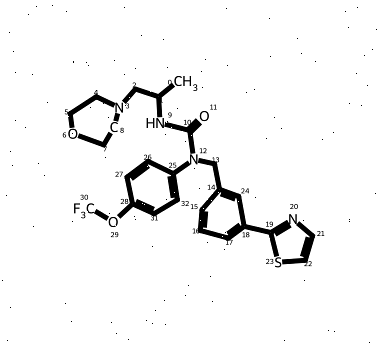 CC(CN1CCOCC1)NC(=O)N(Cc1cccc(-c2nccs2)c1)c1ccc(OC(F)(F)F)cc1